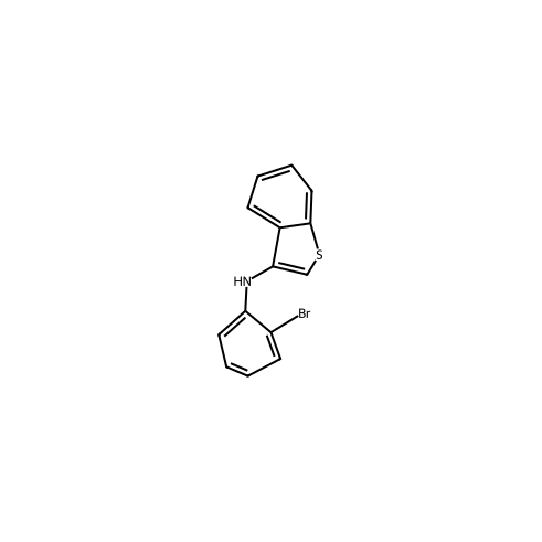 Brc1ccccc1Nc1csc2ccccc12